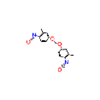 Cc1cc(OCOc2ccc(N=C=O)c(C)c2)ccc1N=C=O